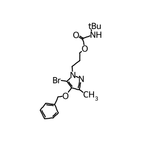 Cc1nn(CCCOC(=O)NC(C)(C)C)c(Br)c1OCc1ccccc1